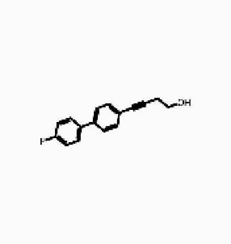 OCCC#Cc1ccc(-c2ccc(F)cc2)cc1